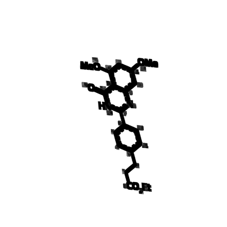 CCOC(=O)CCc1ccc(-c2nc3cc(OC)cc(OC)c3c(=O)[nH]2)cc1